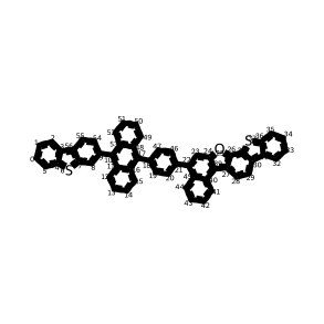 c1ccc2c(c1)sc1cc(-c3c4ccccc4c(-c4ccc(-c5cc6oc7c(ccc8c9ccccc9sc87)c6c6ccccc56)cc4)c4ccccc34)ccc12